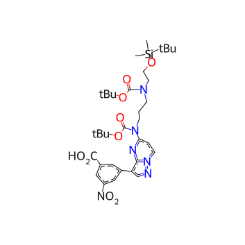 CC(C)(C)OC(=O)N(CCCN(C(=O)OC(C)(C)C)c1ccn2ncc(-c3cc(C(=O)O)cc([N+](=O)[O-])c3)c2n1)CCO[Si](C)(C)C(C)(C)C